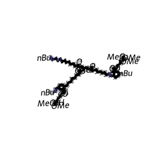 CCCC/C=C/C/C=C/CCCCCCCC(=O)OCC(COC(=O)CCCCCCC/C=C/C1C=CC(CCCC)CC1(C)C(=O)OCCC[Si](OC)(OC)OC)OC(=O)CCCCCCCC1C=CC(/C=C/CCCC)CC1(C)C(=O)OCCC[SiH](OC)OC